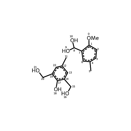 COc1ccc(C)cc1C(O)O.Cc1cc(CO)c(O)c(CO)c1